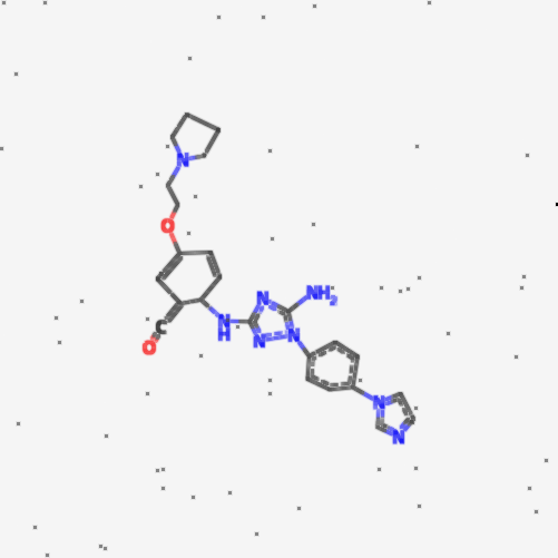 Nc1nc(NC2C=CC(OCCN3CCCC3)=CC2=C=O)nn1-c1ccc(-n2ccnc2)cc1